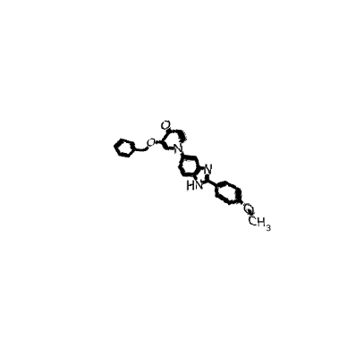 COc1ccc(-c2nc3cc(-n4ccc(=O)c(OCc5ccccc5)c4)ccc3[nH]2)cc1